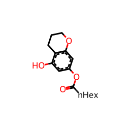 CCCCCCC(=O)Oc1cc(O)c2c(c1)OCCC2